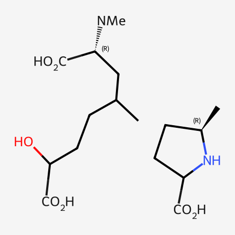 CN[C@H](CC(C)CCC(O)C(=O)O)C(=O)O.C[C@@H]1CCC(C(=O)O)N1